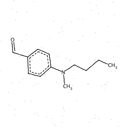 CCCCN(C)c1ccc(C=O)cc1